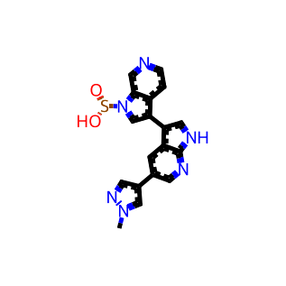 Cn1cc(-c2cnc3[nH]cc(-c4cn(S(=O)O)c5cnccc45)c3c2)cn1